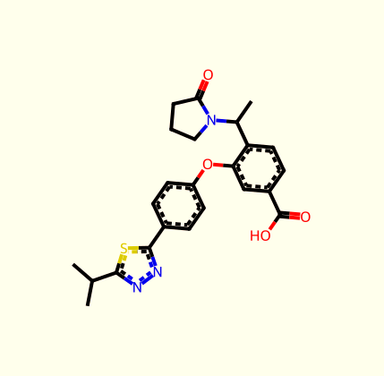 CC(C)c1nnc(-c2ccc(Oc3cc(C(=O)O)ccc3C(C)N3CCCC3=O)cc2)s1